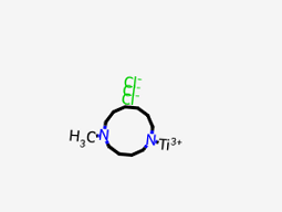 CN1CCCCCC[N]([Ti+3])CCCC1.[Cl-].[Cl-].[Cl-]